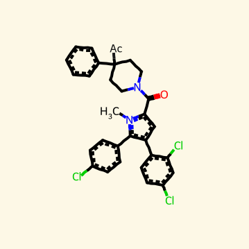 CC(=O)C1(c2ccccc2)CCN(C(=O)c2cc(-c3ccc(Cl)cc3Cl)c(-c3ccc(Cl)cc3)n2C)CC1